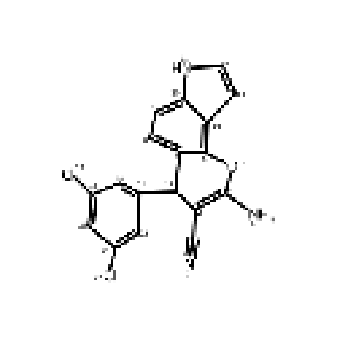 N#CC1=C(N)Oc2c(ccc3[nH]ccc23)C1c1cc(Cl)cc(Cl)c1